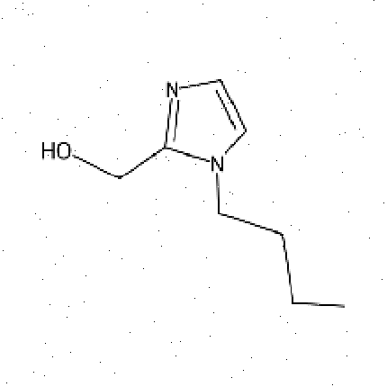 CCCCn1ccnc1CO